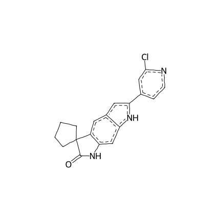 O=C1Nc2cc3[nH]c(-c4ccnc(Cl)c4)cc3cc2C12CCCC2